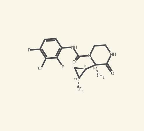 C[C@@]1([C@@H]2C[C@H]2C(F)(F)F)C(=O)NCCN1C(=O)Nc1ccc(F)c(Cl)c1F